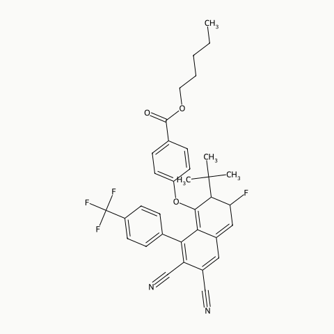 CCCCCOC(=O)c1ccc(OC2=c3c(-c4ccc(C(F)(F)F)cc4)c(C#N)c(C#N)cc3=CC(F)C2C(C)(C)C)cc1